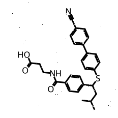 CC(C)CC(Sc1ccc(-c2ccc(C#N)cc2)cc1)c1ccc(C(=O)NCCC(=O)O)cc1